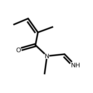 C/C=C(/C)C(=O)N(C)C=N